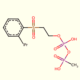 CC(C)c1ccccc1S(=O)(=O)CCOP(=O)(O)OP(C)(=O)O